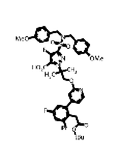 COc1ccc(CN(Cc2ccc(OC)cc2)S(=O)(=O)c2nn(C(C)(C)COc3cc(-c4cc(F)cc(C(C)C)c4CC(=O)OC(C)(C)C)ccn3)c(C(=O)O)c2F)cc1